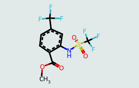 COC(=O)c1ccc(C(F)(F)F)cc1NS(=O)(=O)C(F)(F)F